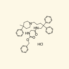 CC1(c2ccccc2)CCN(CCCC(CNC(=O)CNC(=O)OCc2ccccc2)(c2ccccc2)c2ccccc2)CC1.Cl